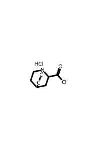 Cl.O=C(Cl)C1CC2CCN1CC2